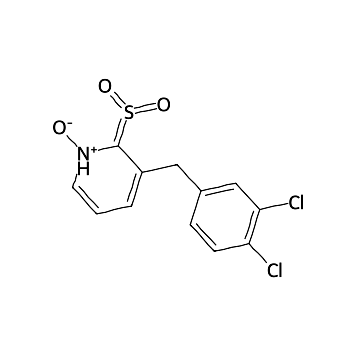 O=S(=O)=C1C(Cc2ccc(Cl)c(Cl)c2)=CC=C[NH+]1[O-]